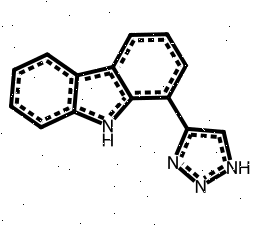 c1ccc2c(c1)[nH]c1c(-c3c[nH]nn3)cccc12